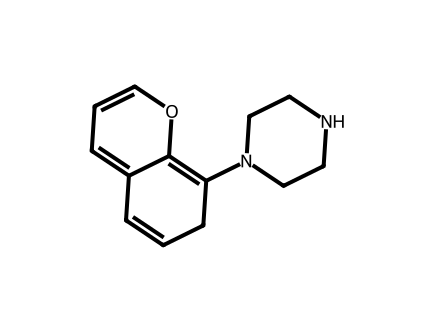 C1=COC2=C(N3CCNCC3)CC=CC2=C1